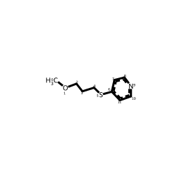 COCCCSc1ccncc1